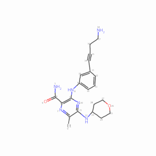 CCc1nc(C(N)=O)c(Nc2cccc(C#CCCN)c2)nc1NC1CCOCC1